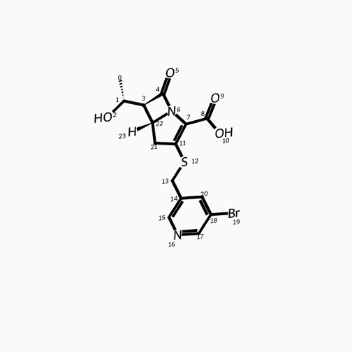 C[C@@H](O)[C@H]1C(=O)N2C(C(=O)O)=C(SCc3cncc(Br)c3)C[C@H]12